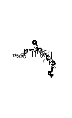 CC(C)(C)OC(=O)N1C[C@@H](CCCNc2nc(S(=O)(=O)NC(=O)c3ccc(-n4ccc(OCCC5CCC56CC6)n4)nc3Cl)ccc2OCc2ccccc2)CC1(C)C